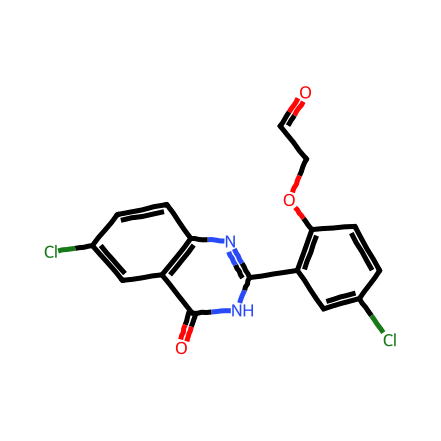 O=CCOc1ccc(Cl)cc1-c1nc2ccc(Cl)cc2c(=O)[nH]1